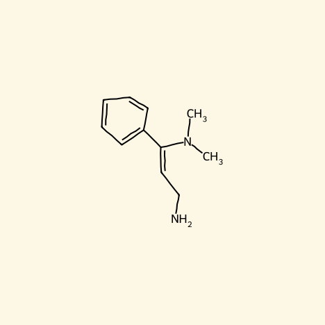 CN(C)C(=CCN)c1ccccc1